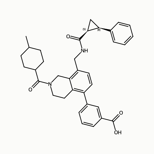 CC1CCC(C(=O)N2CCc3c(-c4cccc(C(=O)O)c4)ccc(CNC(=O)[C@H]4C[C@H]4c4ccccc4)c3C2)CC1